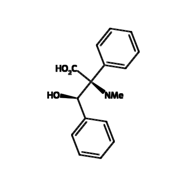 CN[C@@](C(=O)O)(c1ccccc1)[C@H](O)c1ccccc1